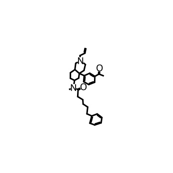 C=CCN1CCC2(c3cccc(C(C)=O)c3)CC(N(C)C(=O)CCCCCc3ccccc3)CCC2C1